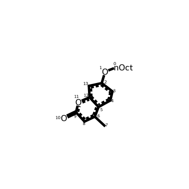 CCCCCCCCOc1ccc2c(C)cc(=O)oc2c1